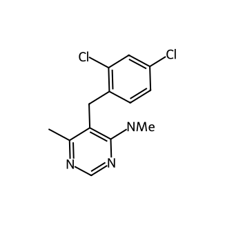 CNc1ncnc(C)c1Cc1ccc(Cl)cc1Cl